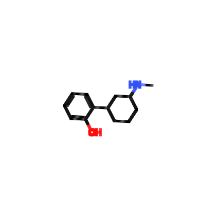 CNC1CCCC(c2ccccc2O)C1